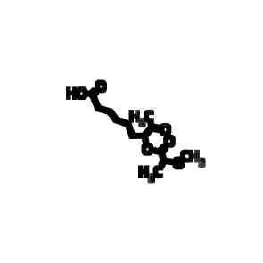 COC(C)C(=O)OC(CCCCCC(=O)O)C(C)=O